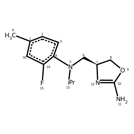 Cc1ccc(N(C[C@H]2COC(N)=N2)C(C)C)c(F)c1